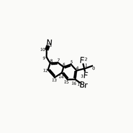 CC(F)(F)c1cc2cc(CC#N)ccc2cc1Br